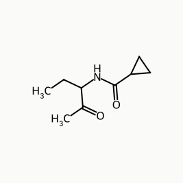 CCC(NC(=O)C1CC1)C(C)=O